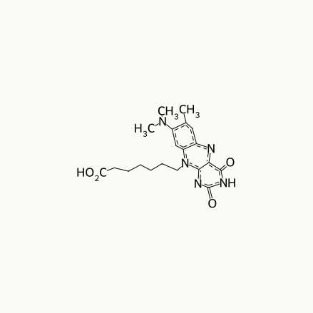 Cc1cc2nc3c(=O)[nH]c(=O)nc-3n(CCCCCCC(=O)O)c2cc1N(C)C